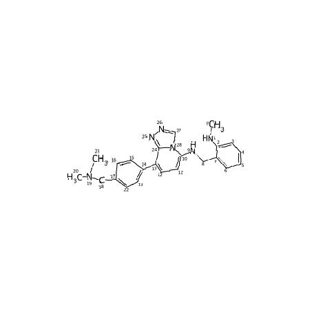 CNc1ccccc1CNc1ccc(-c2ccc(CN(C)C)cc2)c2nncn12